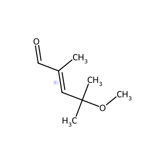 COC(C)(C)/C=C(\C)C=O